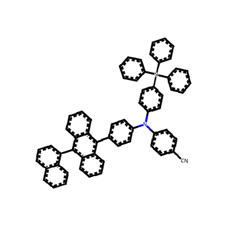 N#Cc1ccc(N(c2ccc(-c3c4ccccc4c(-c4cccc5ccccc45)c4ccccc34)cc2)c2ccc([Si](c3ccccc3)(c3ccccc3)c3ccccc3)cc2)cc1